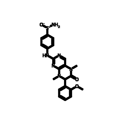 COc1ccccc1C1C(=O)N(C)c2cnc(Nc3ccc([S+](N)[O-])cc3)nc2N1C